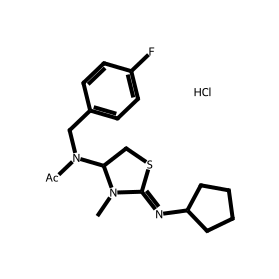 CC(=O)N(Cc1ccc(F)cc1)C1CSC(=NC2CCCC2)N1C.Cl